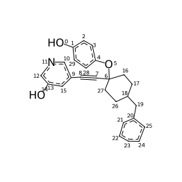 Oc1ccc(OC2(C#Cc3cncc(O)c3)CCC(Cc3ccccc3)CC2)cc1